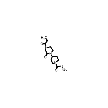 C=CC(=O)N1CCN(C2CCN(C(=O)OC(C)(C)C)CC2)C(=O)C1